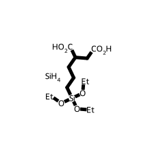 CCO[Si](CCCC(CC(=O)O)C(=O)O)(OCC)OCC.[SiH4]